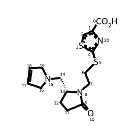 O=C(O)c1csc(SCCN2C(=O)CC[C@@H]2CN2CC=CC2)n1